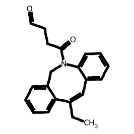 CC/C1=C/c2ccccc2N(C(=O)CCC=O)Cc2ccccc21